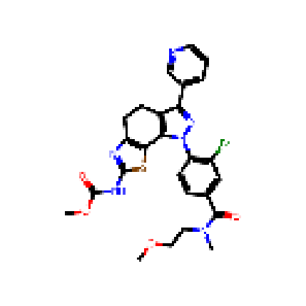 COCCN(C)C(=O)c1ccc(-n2nc(-c3cccnc3)c3c2-c2sc(NC(=O)OC)nc2CC3)c(Br)c1